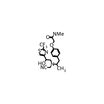 CNC(=O)COc1ccc(CC(C)N(CC#N)CC(O)c2csc(C(F)(F)F)n2)cc1